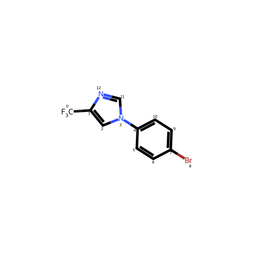 FC(F)(F)c1cn(-c2ccc(Br)cc2)cn1